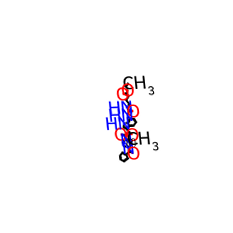 CCOC(=O)CCCNC(=O)Nc1cccc2c(C(=O)C(=O)N3CCN(C(=O)c4ccccc4)C[C@H]3C)c[nH]c12